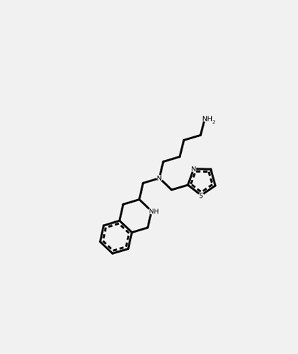 NCCCCN(Cc1nccs1)CC1Cc2ccccc2CN1